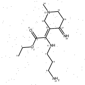 CCOC(=O)/C(NCCCN)=C1\CN(C)CCC1=N